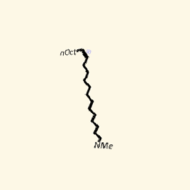 CCCCCCCC/C=C\CCCCCCCCCCCCNC